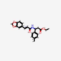 CCOC(=O)CC(NC(=O)/C=C/c1ccc2c(c1)OCO2)c1ccc(C)cc1